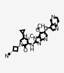 COc1c(Oc2cnn3ccncc23)cnc2nc(Nc3cc(C4CC4)cn([C@H]4C[C@@H](C#N)C4)c3=O)n(C)c12